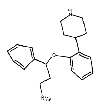 CNCCC(Oc1ccccc1C1CCNCC1)c1ccccc1